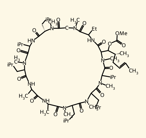 [CH2]OC(=O)OC(C1C(=O)NC(CC)C(=O)N(C)CC(=O)N(C)[C@@H](CC(C)C)C(=O)NC(C(C)C)C(=O)N(C)C(CC(C)C)C(=O)NC(C)C(=O)NC(C)C(=O)N(C)C(CC(C)C)C(=O)N(C)C(CC(C)C)C(=O)N(C)C(C(C)C)C(=O)N1C)[C@H](C)C/C=C/C